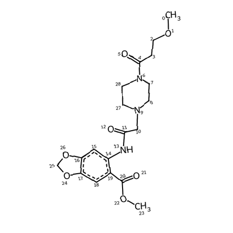 COCCC(=O)N1CCN(CC(=O)Nc2cc3c(cc2C(=O)OC)OCO3)CC1